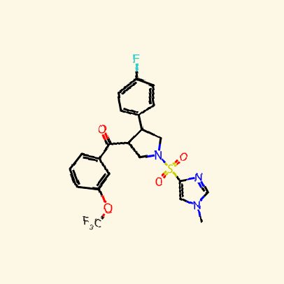 Cn1cnc(S(=O)(=O)N2CC(C(=O)c3cccc(OC(F)(F)F)c3)C(c3ccc(F)cc3)C2)c1